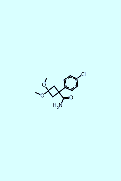 COC1(OC)CC(C(N)=O)(c2ccc(Cl)cc2)C1